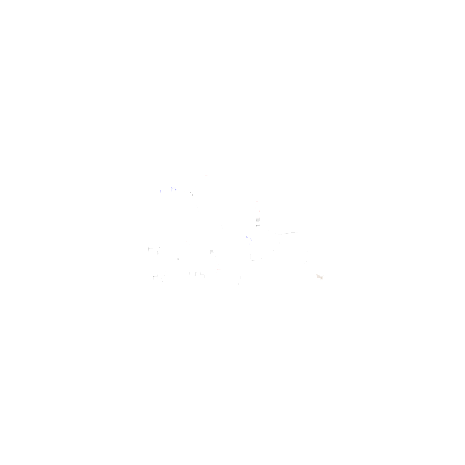 C[C@H]1c2cc(Br)ccc2C(=O)N1[C@@H](CCC(N)=O)C(=O)OC(C)(C)C